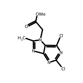 COC(=O)Cn1c(C)nc2nc(Cl)nc(Cl)c21